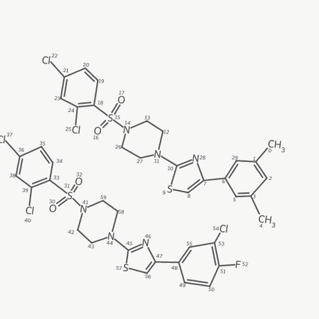 Cc1cc(C)cc(-c2csc(N3CCN(S(=O)(=O)c4ccc(Cl)cc4Cl)CC3)n2)c1.O=S(=O)(c1ccc(Cl)cc1Cl)N1CCN(c2nc(-c3ccc(F)c(Cl)c3)cs2)CC1